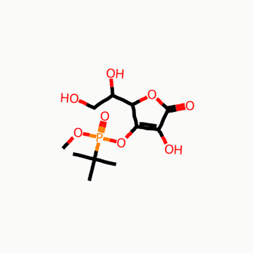 COP(=O)(OC1=C(O)C(=O)OC1C(O)CO)C(C)(C)C